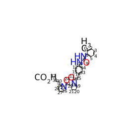 Cc1ccccc1NC(=O)Nc1ccc(CC(=O)N2CCCC2C(=O)N2CCCC2CCC(=O)O)cc1